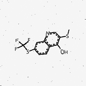 CSc1cnc2cc(SC(F)(F)F)ccc2c1O